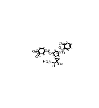 N#CC1(NC(=O)O)CC1.O=S(=O)(c1ccccc1Cl)[C@@H]1CC[C@@H](OCc2ccc(Cl)c(Cl)c2)C1